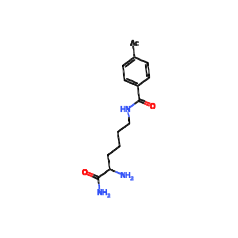 CC(=O)c1ccc(C(=O)NCCCCC(N)C(N)=O)cc1